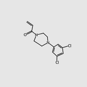 C=CC(=O)N1CCN(c2cc(Cl)cc(Cl)c2)CC1